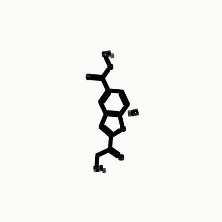 COC(=O)c1ccc2oc(C(=O)CN)cc2c1.Cl